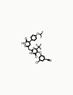 N#Cc1cc(Cl)cc(Oc2c(C(F)(F)F)nc(Cc3cc(-c4ccc(OC(F)F)cc4)c(=O)[nH]n3)[nH]c2=O)c1